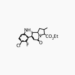 CCOC(=O)C1C(C)CC2CC(c3c(N)ccc(Cl)c3F)=CC(=O)N21